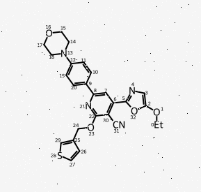 CCOc1cnc(-c2cc(-c3ccc(N4CCOCC4)cc3)nc(OCc3ccsc3)c2C#N)o1